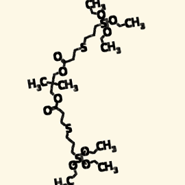 CCO[Si](CCCSCCC(=O)OCC(C)(C)COC(=O)CCSCCC[Si](OCC)(OCC)OCC)(OCC)OCC